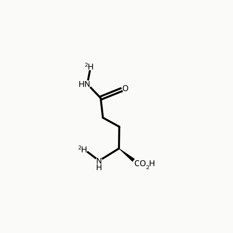 [2H]NC(=O)CC[C@H](N[2H])C(=O)O